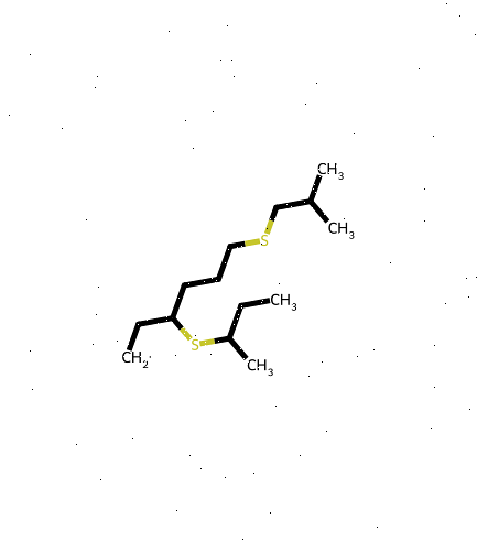 [CH2]CC(CCCSCC(C)C)SC(C)CC